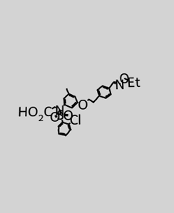 CCON=Cc1ccc(CCOc2cc(C)cc(N(CC(=O)O)S(=O)(=O)c3ccccc3Cl)c2)cc1